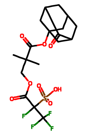 CC(C)(COC(=O)C(F)(C(F)(F)F)S(=O)(=O)O)C(=O)OC12CC3CC(C1)C(=O)C(C3)C2